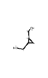 OCC1C[C@@H]1CO